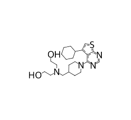 OCCN(CCO)CC1CCN(c2ncnc3scc(C4CCCCC4)c23)CC1